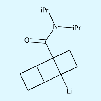 [Li][C]12C3C4C5C3C1(C(=O)N(C(C)C)C(C)C)C5C42